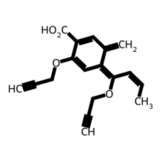 C#CCOC(/C=C\C)=c1\cc(OCC#C)c(C(=O)O)cc1=C